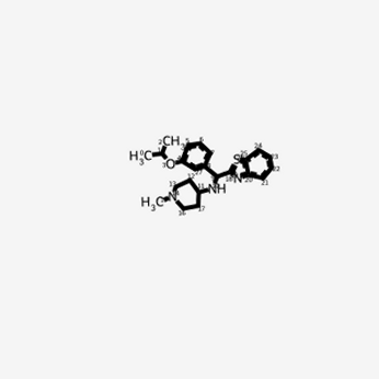 CC(C)Oc1cccc(C(NC2CCN(C)CC2)c2nc3ccccc3s2)c1